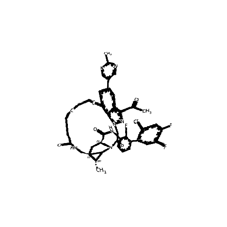 CC(=O)c1nn2c3c(cc(-c4cnc(C)nc4)cc13)CCCCCCC(=O)NC[C@@]13C[C@@H](C(=O)Nc4cccc(-c5cc(F)c(F)cc5Cl)c4F)N(C(=O)C2)C1[C@@H]3C